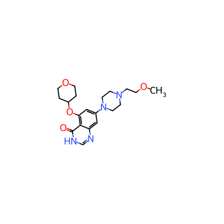 COCCN1CCN(c2cc(OC3CCOCC3)c3c(=O)[nH]cnc3c2)CC1